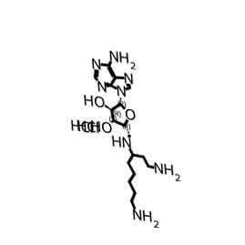 Cl.Cl.NCCCCCC(CCN)NC[C@H]1O[C@@H](n2cnc3c(N)ncnc32)[C@H](O)[C@@H]1O